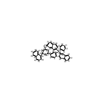 Clc1nc(-c2cccc([Si](c3ccccc3)(c3ccc4ccccc4c3)c3ccc4ccccc4c3)c2)nc(-c2cccc3ccccc23)n1